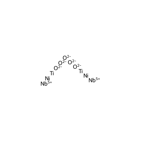 [Nb+5].[Nb+5].[Ni].[Ni].[O-2].[O-2].[O-2].[O-2].[O-2].[Ti].[Ti]